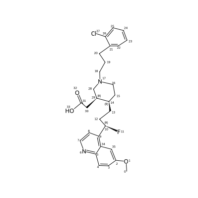 COc1ccc2nccc([C@H](F)CC[C@@H]3CCN(CCCc4ccccc4Cl)C[C@@H]3CC(=O)O)c2c1